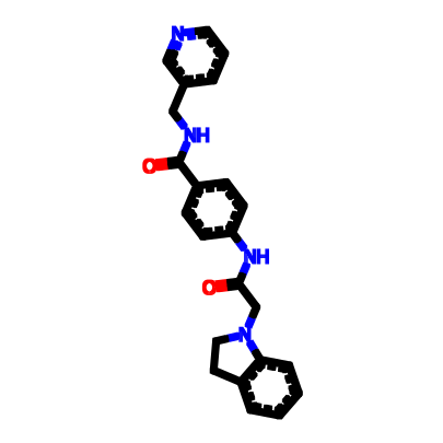 O=C(CN1CCc2ccccc21)Nc1ccc(C(=O)NCc2cccnc2)cc1